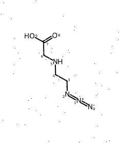 [N-]=[N+]=NCCNCC(=O)O